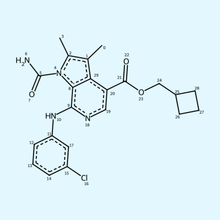 Cc1c(C)n(C(N)=O)c2c(Nc3cccc(Cl)c3)ncc(C(=O)OCC3CCC3)c12